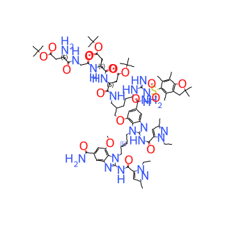 CCn1nc(C)cc1C(=O)Nc1nc2cc(C(N)=O)cc(OC)c2n1C/C=C/Cn1c(NC(=O)c2cc(C)nn2CC)nc2cc(C(N)=O)cc(OCC(CCCNC(=N)NS(=O)(=O)c3c(C)c(C)c4c(c3C)CC(C)(C)O4)CNC(=O)[C@H](CC(=O)OC(C)(C)C)NC(=O)[C@H](CC(=O)OC(C)(C)C)NC(=O)CNC(=O)[C@@H](N)CC(=O)OC(C)(C)C)c21